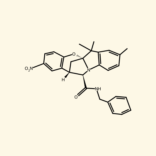 Cc1ccc2c(c1)C(C)(C)[C@@]13C[C@@H](c4cc([N+](=O)[O-])ccc4O1)[C@H](C(=O)NCc1ccccc1)N23